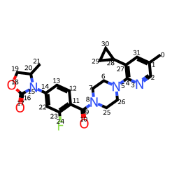 Cc1cnc(N2CCN(C(=O)c3ccc(N4C(=O)OCC4C)cc3F)CC2)c(C2CC2)c1